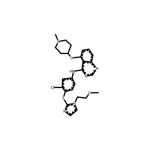 COCCn1ccnc1Sc1ccc(Nc2ncnc3cccc(OC4CCN(C)CC4)c23)cc1Cl